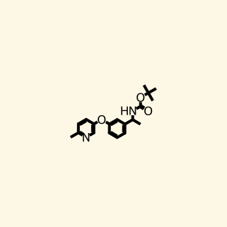 Cc1ccc(Oc2cccc(C(C)NC(=O)OC(C)(C)C)c2)cn1